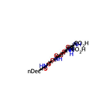 CCCCCCCCCCCCCC(=O)NCCOCCOCCNC(=O)CCOCCOCCNC(=O)C(CCCNC(=O)O)NC(=O)O